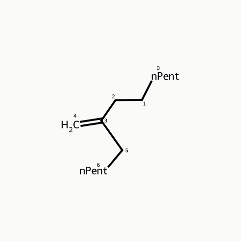 [CH2]CCCCCCC(=C)CCCCCC